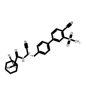 CS(=O)(=O)c1cc(-c2ccc(C[C@@H](C#N)NC(=O)[C@H]3NC4CCC3CC4)cc2)ccc1C#N